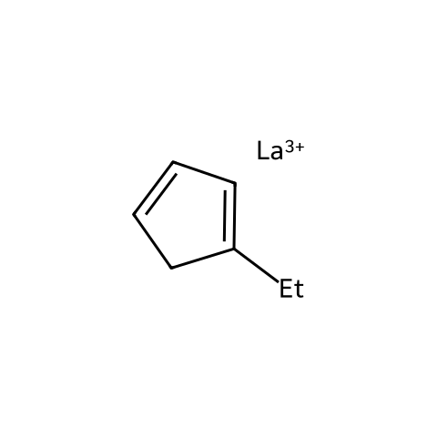 CCC1=CC=CC1.[La+3]